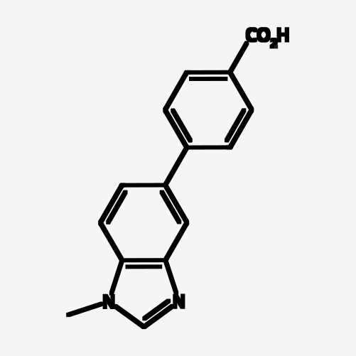 Cn1cnc2cc(-c3ccc(C(=O)O)cc3)ccc21